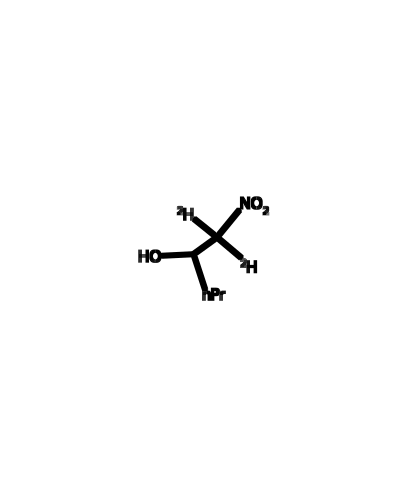 [2H]C([2H])(C(O)CCC)[N+](=O)[O-]